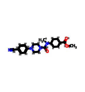 COC(=O)C1CCC(N(C)C(=O)N2CCN(c3ccc(C#N)cc3)CC2)CC1